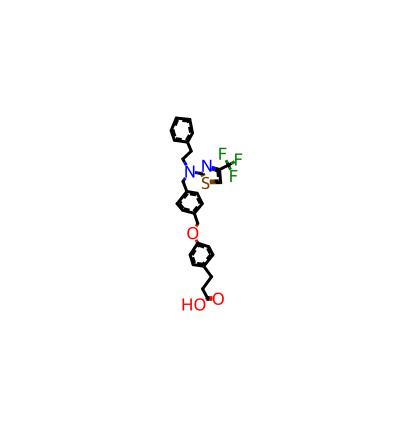 O=C(O)CCc1ccc(OCc2ccc(CN(CCc3ccccc3)c3nc(C(F)(F)F)cs3)cc2)cc1